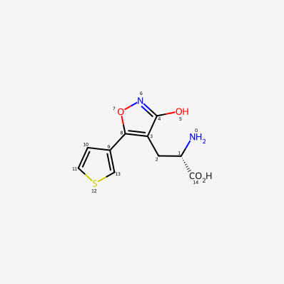 N[C@@H](Cc1c(O)noc1-c1ccsc1)C(=O)O